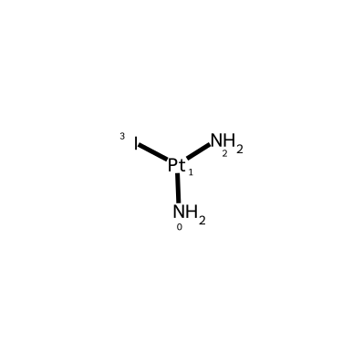 [NH2][Pt]([NH2])[I]